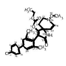 CCOC(=O)OC1=C(c2c(C)cc(-c3ccc(Cl)cc3)cc2C)C(=O)NC12CCN(OC)CC2